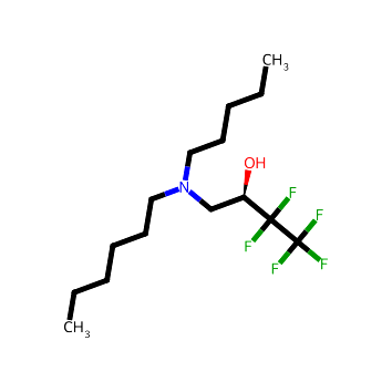 CCCCCCN(CCCCC)C[C@@H](O)C(F)(F)C(F)(F)F